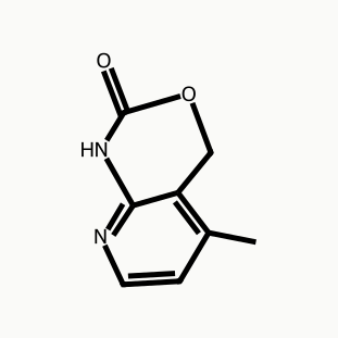 Cc1ccnc2c1COC(=O)N2